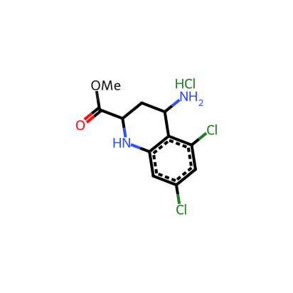 COC(=O)C1CC(N)c2c(Cl)cc(Cl)cc2N1.Cl